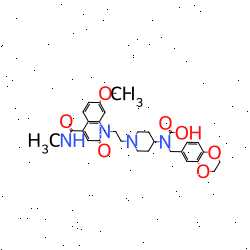 CNC(=O)c1cc(=O)n(CCN2CCC(N(Cc3ccc4c(c3)OCCO4)C(=O)O)CC2)c2cc(OC)ccc12